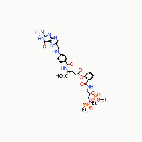 CCO[PH](=O)OCC(CNC(=O)c1ccccc1OC(=O)CC[C@@H](NC(=O)c1ccc(NCc2cnc3nc(N)[nH]c(=O)c3n2)cc1)C(=O)O)OP(=O)(OCC)OCC